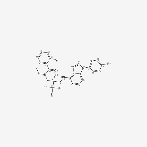 CCN(CC(O)(CNc1cccc2c1cnn2-c1ccc(F)cc1)C(F)(F)F)C(=O)c1ccccc1Cl